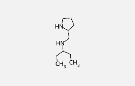 CCC(CC)NCC1CCCN1